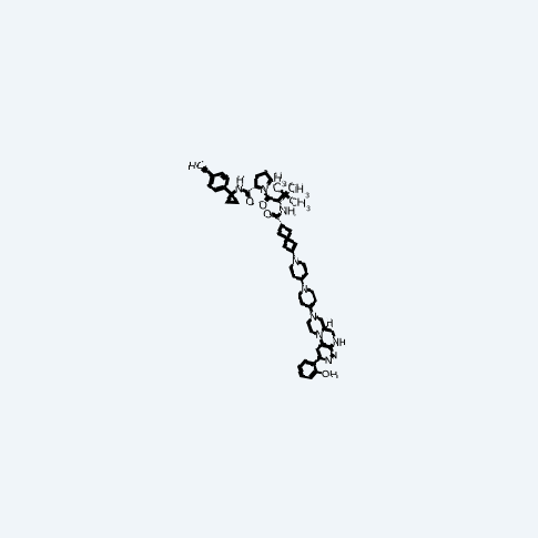 C#Cc1ccc(C2(NC(=O)[C@@H]3CCCN3C(=O)[C@@H](NC(=O)[C@H]3CC4(C3)C[C@H](N3CCC(N5CCC(N6CCN7c8cc(-c9ccccc9O)nnc8NC[C@H]7C6)CC5)CC3)C4)C(C)(C)C)CC2)cc1